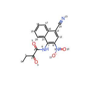 CCC(=O)C(=O)Nc1c([N+](=O)[O-])cc(C#N)c2ccccc12